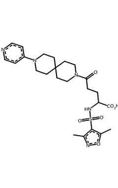 Cc1noc(C)c1S(=O)(=O)NC(CCC(=O)N1CCC2(CC1)CCN(c1ccncc1)CC2)C(=O)O